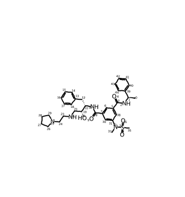 C[C@@H](NC(=O)c1cc(C(=O)N[C@@H](Cc2ccccc2)[C@H](O)CNCCN2CCCC2)cc(N(C)S(C)(=O)=O)c1)c1ccccc1